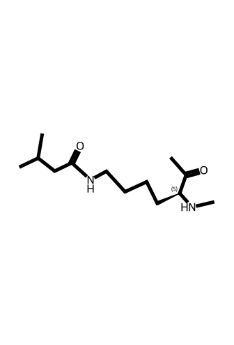 CN[C@@H](CCCCNC(=O)CC(C)C)C(C)=O